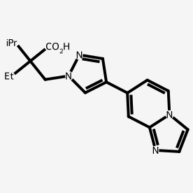 CCC(Cn1cc(-c2ccn3ccnc3c2)cn1)(C(=O)O)C(C)C